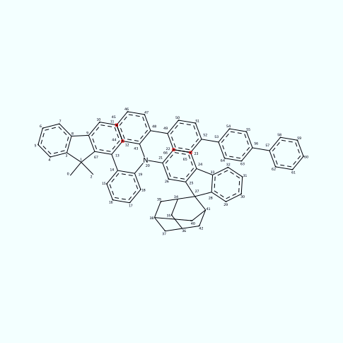 CC1(C)c2ccccc2-c2cccc(-c3ccccc3N(c3ccc4c(c3)C3(c5ccccc5-4)C4CC5CC(C4)CC3C5)c3ccccc3-c3ccc(-c4ccc(-c5ccccc5)cc4)cc3)c21